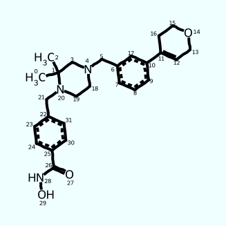 CC1(C)CN(Cc2cccc(C3=CCOCC3)c2)CCN1Cc1ccc(C(=O)NO)cc1